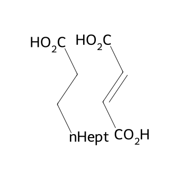 CCCCCCCCCC(=O)O.O=C(O)C=CC(=O)O